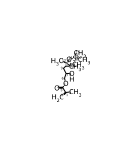 C=C(C)C(=O)OCC(O)C[Si](C)(C)O[Si](C)(C)C